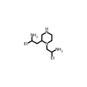 CCC(N)CC1CNCCN1CC(N)CC